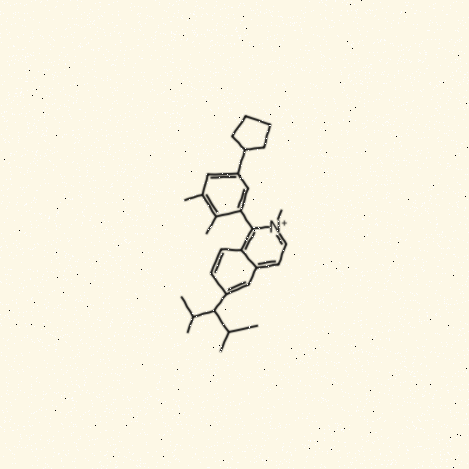 Cc1cc(C2CCCC2)cc(-c2c3ccc(C(C(C)C)C(C)C)cc3cc[n+]2C)c1C